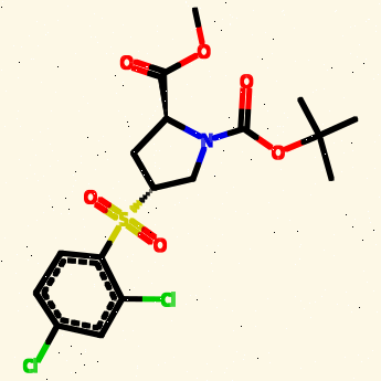 COC(=O)[C@@H]1C[C@@H](S(=O)(=O)c2ccc(Cl)cc2Cl)CN1C(=O)OC(C)(C)C